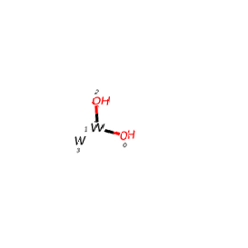 [OH][W][OH].[W]